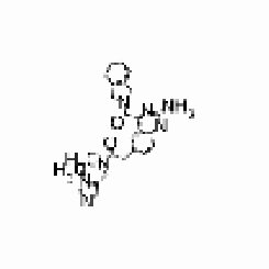 CN(Cc1cncn1C)C(=O)Cc1ccc2nc(N)nc(C(=O)N3Cc4ccccc4C3)c2c1